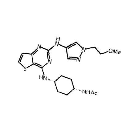 COCCn1cc(Nc2nc(N[C@H]3CC[C@@H](NC(C)=O)CC3)c3sccc3n2)cn1